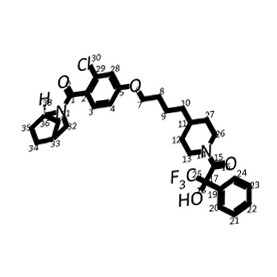 O=C(c1ccc(OCCCCC2CCN(C(=O)C(O)(c3ccccc3)C(F)(F)F)CC2)cc1Cl)N1CC2CC[C@@H]1C2